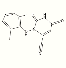 Cc1cccc(C)c1Nn1c(C#N)cc(=O)[nH]c1=O